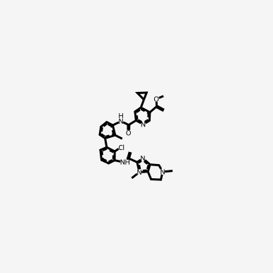 C=C(OC)c1cnc(C(=O)Nc2cccc(-c3cccc(NC(=C)c4nc5c(n4C)CCN(C)C5)c3Cl)c2C)cc1C1CC1